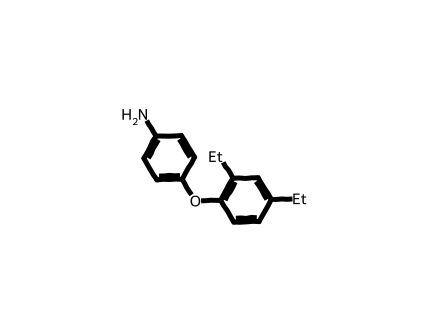 CCc1ccc(Oc2ccc(N)cc2)c(CC)c1